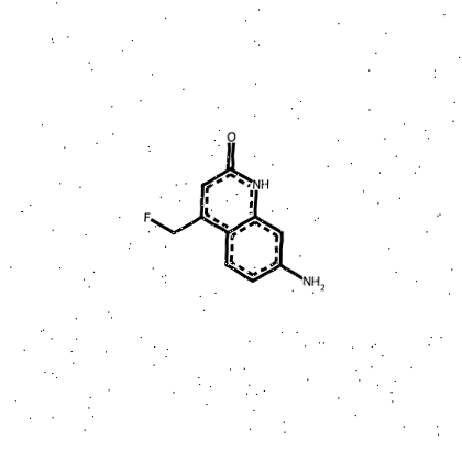 Nc1ccc2c(CF)cc(=O)[nH]c2c1